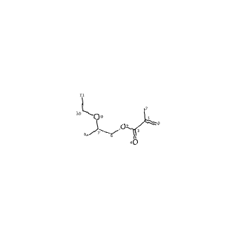 C=C(C)C(=O)OCC(C)OCC